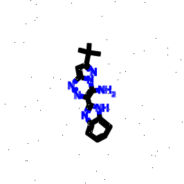 CC(C)(C)c1cc2nnc(-c3nc4ccccc4[nH]3)c(N)n2n1